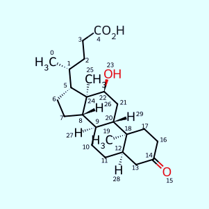 C[C@H](CCC(=O)O)[C@H]1CC[C@H]2[C@@H]3CC[C@@H]4CC(=O)CC[C@]4(C)[C@H]3C[C@H](O)[C@]12C